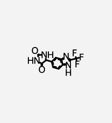 O=C1NC(=O)C(c2ccc3[nH]c(C(F)(F)F)nc3c2)N1